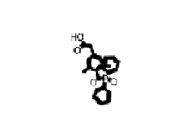 Cc1cc(CC(=O)O)cc(C)c1C(=O)P(=O)(c1ccccc1)c1ccccc1